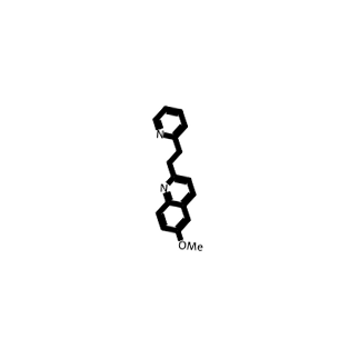 COc1ccc2nc(CCc3ccccn3)ccc2c1